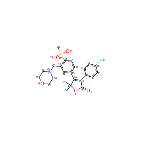 CC1(C)OC(=O)C(c2ccc(F)cc2)=C1c1ccc(S(C)(=O)=O)c(CN2CCOCC2)c1